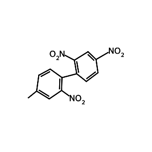 Cc1ccc(-c2ccc([N+](=O)[O-])cc2[N+](=O)[O-])c([N+](=O)[O-])c1